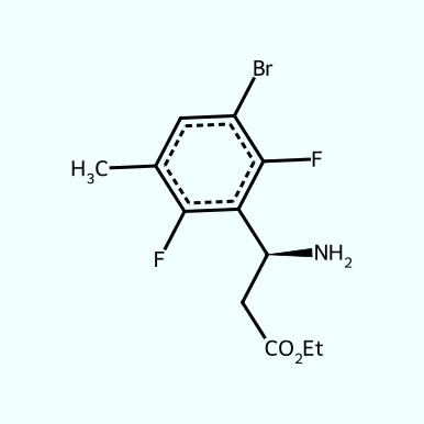 CCOC(=O)C[C@H](N)c1c(F)c(C)cc(Br)c1F